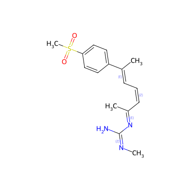 C\N=C(N)/N=C(C)/C=C\C=C(/C)c1ccc(S(C)(=O)=O)cc1